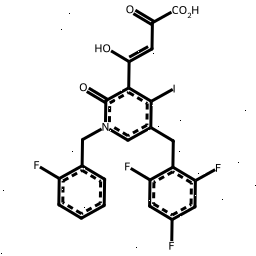 O=C(O)C(=O)C=C(O)c1c(I)c(Cc2c(F)cc(F)cc2F)cn(Cc2ccccc2F)c1=O